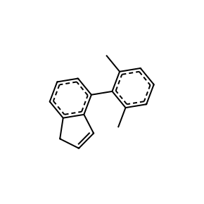 Cc1cccc(C)c1-c1cccc2c1C=CC2